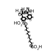 NNC(=O)c1ccccc1.NNC(=O)c1ccccc1.O=C(O)OCCCCCCCCCCOC(=O)O